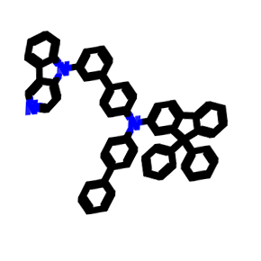 c1ccc(-c2ccc(N(c3ccc(-c4cccc(-n5c6ccccc6c6cnccc65)c4)cc3)c3ccc4c(c3)C(c3ccccc3)(c3ccccc3)c3ccccc3-4)cc2)cc1